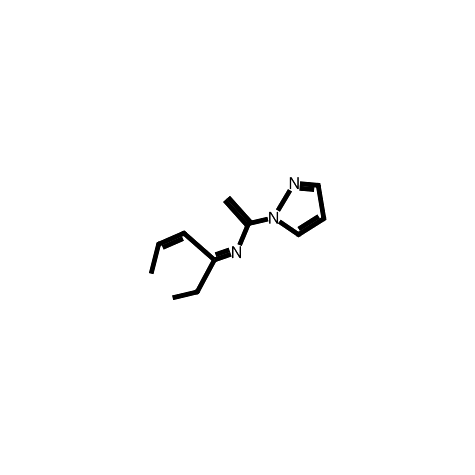 C=C(/N=C(\C=C/C)CC)n1cccn1